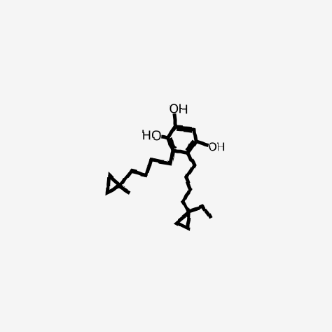 CCC1(CCCCc2c(O)cc(O)c(O)c2CCCCC2(C)CC2)CC1